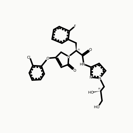 O=C(Nc1ccn(C[C@@H](O)CO)n1)[C@H](Cc1ccccc1F)N1CC(Oc2ccccc2Cl)=CC1=O